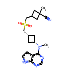 CN(c1ncnc2[nH]ccc12)[C@H]1C[C@@H](CS(=O)(=O)CC2CC(C)(C#N)C2)C1